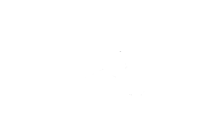 CCOC1=C[C@H](C)C2=C1CCCC2